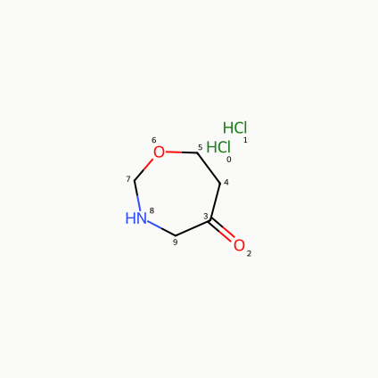 Cl.Cl.O=C1CCOCNC1